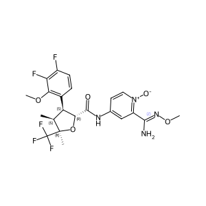 CO/N=C(\N)c1cc(NC(=O)[C@@H]2O[C@@](C)(C(F)(F)F)[C@@H](C)[C@H]2c2ccc(F)c(F)c2OC)cc[n+]1[O-]